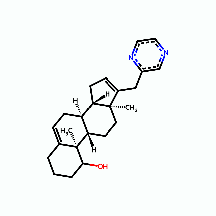 C[C@]12CC[C@H]3[C@@H](CC=C4CCCC(O)[C@@]43C)[C@@H]1CC=C2Cc1cnccn1